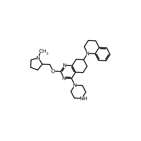 CN1CCCC1COc1nc2c(c(N3CCNCC3)n1)CCC(N1CCCc3ccccc31)C2